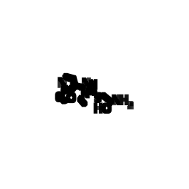 CCn1c(SCC(N)O)nnc1-c1ccnc2c1OCO2